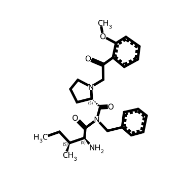 CC[C@H](C)[C@H](N)C(=O)N(Cc1ccccc1)C(=O)[C@@H]1CCCN1CC(=O)c1ccccc1OC